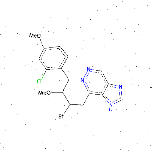 CCC(Cc1nncc2nc[nH]c12)C(Cc1ccc(OC)cc1Cl)OC